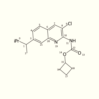 CC(C)C(C)c1ccc2cc(Cl)c(NC(=O)OC3CCC3)nc2c1